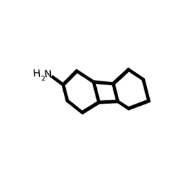 NC1CCC2C3CCCCC3C2C1